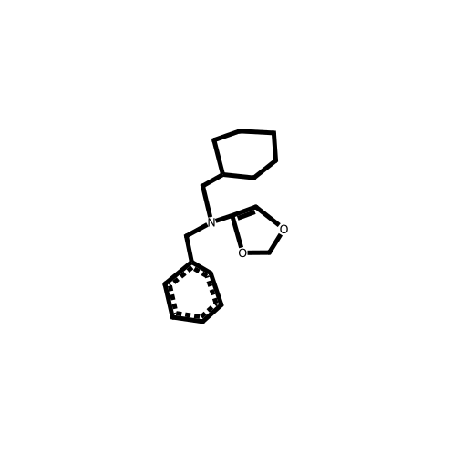 C1=C(N(Cc2ccccc2)CC2CCCCC2)OCO1